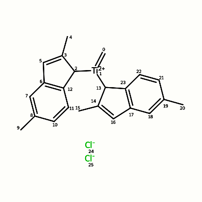 [CH2]=[Ti+2]([CH]1C(C)=Cc2cc(C)ccc21)[CH]1C(C)=Cc2cc(C)ccc21.[Cl-].[Cl-]